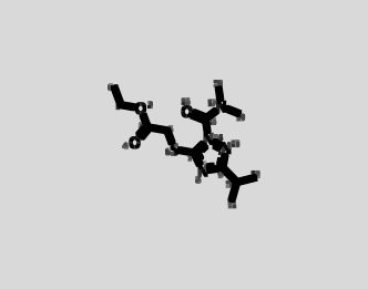 CCOC(=O)CSc1nc(C(C)C)nn1C(=O)N(C)C